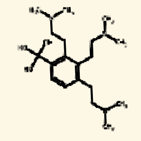 CN(C)CCc1ccc(C(O)(O)O)c(CCN(C)C)c1CCN(C)C